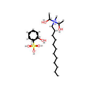 CCCCCCCCCCCC[N+](C)(C(C)O)C(C)O.O=S(=O)([O-])c1ccccc1O